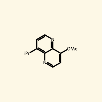 COc1ccnc2c(C(C)C)ccnc12